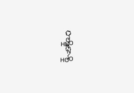 O=C(O)CCN1CCN(NC(=O)OCc2ccccc2)CC1